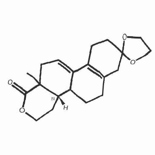 CC12CC=C3C4=C(CCC3[C@@H]1CCOC2=O)CC1(CC4)OCCO1